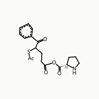 CC(=O)SC(CCC(=O)OC(=O)[C@@H]1CCCN1)C(=O)c1ccccc1